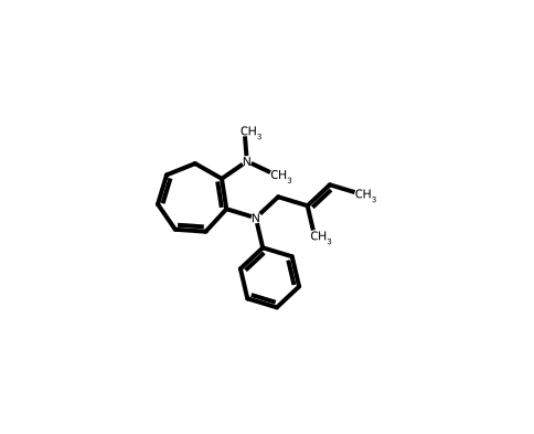 C/C=C(\C)CN(C1=C(N(C)C)CC=CC=C1)c1ccccc1